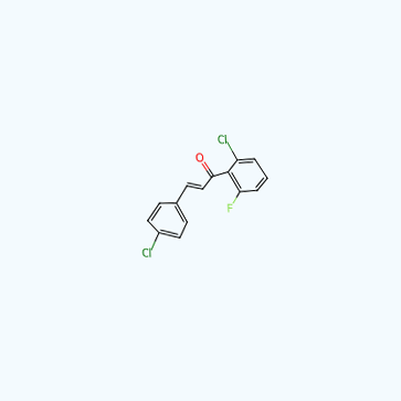 O=C(C=Cc1ccc(Cl)cc1)c1c(F)cccc1Cl